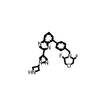 FC1COCC(F)N1Cc1ccc(-c2cccc3ncc(-c4cnn(C5CNC5)c4)nc23)cc1